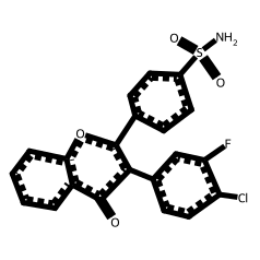 NS(=O)(=O)c1ccc(-c2oc3ccccc3c(=O)c2-c2ccc(Cl)c(F)c2)cc1